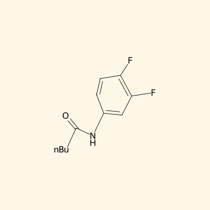 CCCCC(=O)Nc1ccc(F)c(F)c1